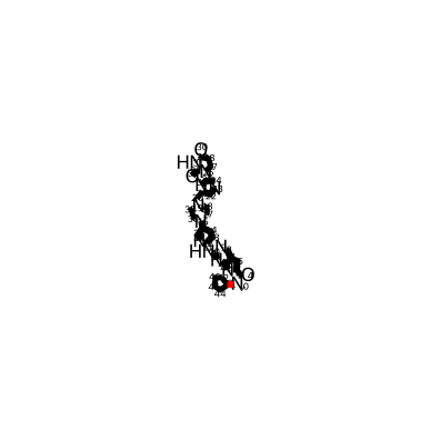 CN(C)C(=O)c1cc2cnc(Nc3ccc(N4CCN(Cc5cncc(N6CCC(=O)NC6=O)n5)CC4)cn3)nc2n1C1CCCC1